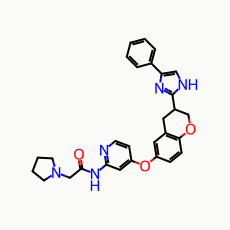 O=C(CN1CCCC1)Nc1cc(Oc2ccc3c(c2)CC(c2nc(-c4ccccc4)c[nH]2)CO3)ccn1